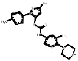 Cc1ccc(-n2nc(C(C)(C)C)cc2NC(=O)Nc2cnc(N3CCNCC3)c(C)c2)cc1